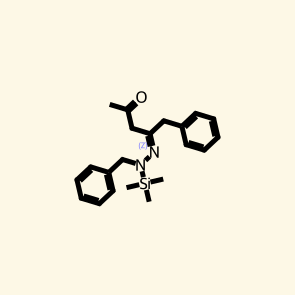 CC(=O)C/C(Cc1ccccc1)=N\N(Cc1ccccc1)[Si](C)(C)C